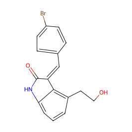 O=C1Nc2cccc(CCO)c2/C1=C/c1ccc(Br)cc1